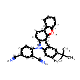 CC(C)(C)c1ccc2c(c1)c1c3oc4ccccc4c3ccc1n2-c1ccc(C#N)cc1C#N